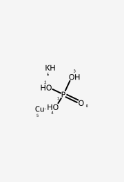 O=P(O)(O)O.[Cu].[KH]